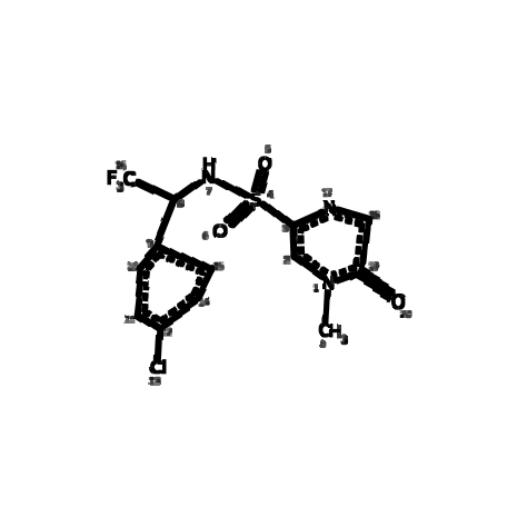 Cn1cc(S(=O)(=O)NC(c2ccc(Cl)cc2)C(F)(F)F)ncc1=O